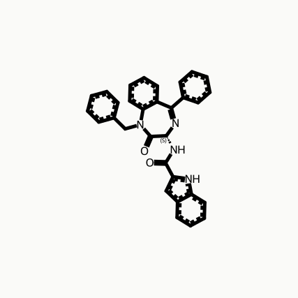 O=C(N[C@H]1N=C(c2ccccc2)c2ccccc2N(Cc2ccccc2)C1=O)c1cc2ccccc2[nH]1